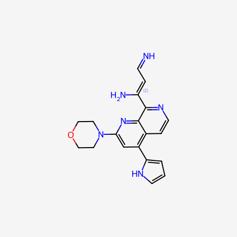 N=C/C=C(\N)c1nccc2c(-c3ccc[nH]3)cc(N3CCOCC3)nc12